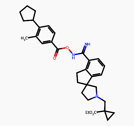 CCOC(=O)C1(CN2CCC3(CCc4c(C(=N)NOC(=O)c5ccc(C6CCCC6)c(C)c5)cccc43)C2)CC1